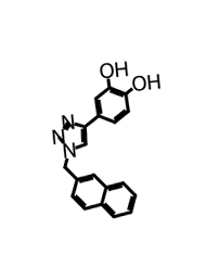 Oc1ccc(-c2cn(Cc3ccc4ccccc4c3)nn2)cc1O